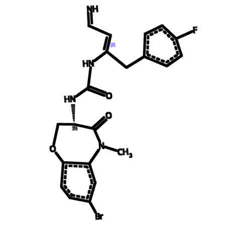 CN1C(=O)[C@@H](NC(=O)N/C(=C\C=N)Cc2ccc(F)cc2)COc2ccc(Br)cc21